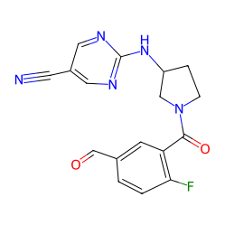 N#Cc1cnc(NC2CCN(C(=O)c3cc(C=O)ccc3F)C2)nc1